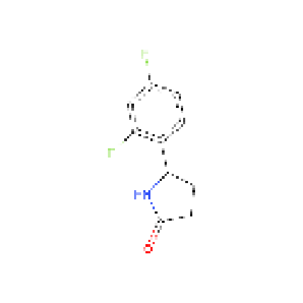 O=C1CCC(c2ccc(F)cc2F)N1